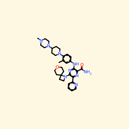 Cc1cc(Nc2nc(N3CCC34CCOCC4)c(-c3ccccn3)nc2C(N)=O)ccc1N1CCC(N2CCN(C)CC2)CC1